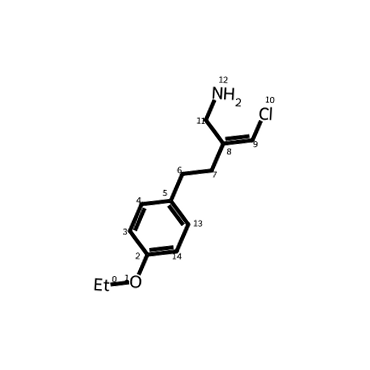 CCOc1ccc(CC/C(=C/Cl)CN)cc1